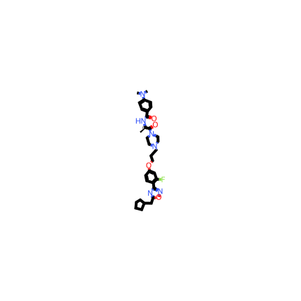 C[C@@H](NC(=O)c1ccc(N(C)C)cc1)C(=O)N1CCN(CCCOc2ccc(-c3noc(CC4CCCC4)n3)c(F)c2)CC1